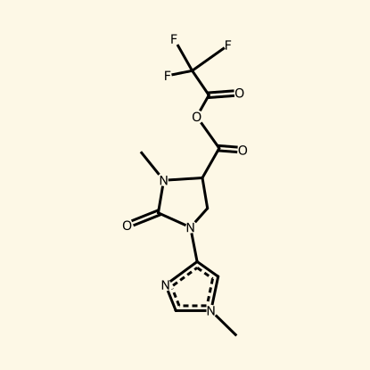 CN1C(=O)N(c2cn(C)cn2)CC1C(=O)OC(=O)C(F)(F)F